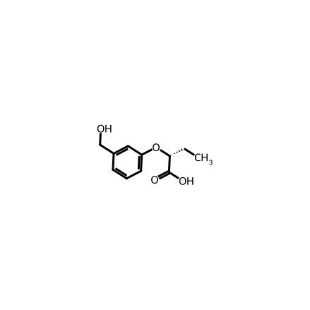 CC[C@@H](Oc1cccc(CO)c1)C(=O)O